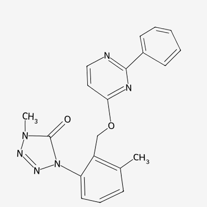 Cc1cccc(-n2nnn(C)c2=O)c1COc1ccnc(-c2ccccc2)n1